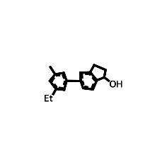 CCc1cc(C)cc(-c2ccc3c(c2)CCC3O)c1